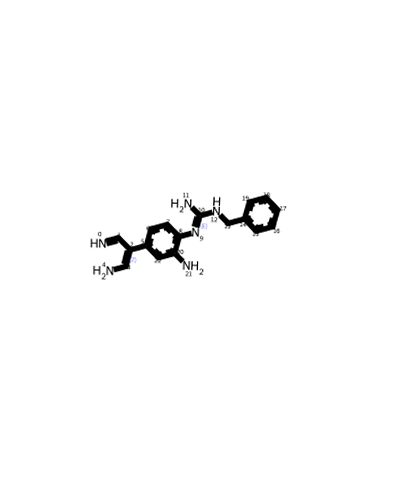 N=C/C(=C\N)c1ccc(/N=C(\N)NCc2ccccc2)c(N)c1